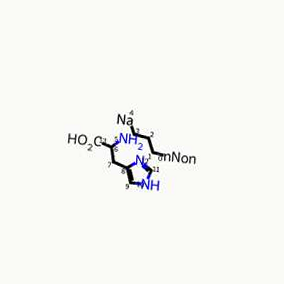 CCCCCCCCCCC[CH2][Na].NC(Cc1c[nH]cn1)C(=O)O